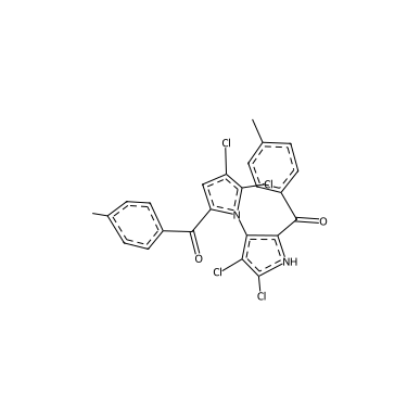 Cc1ccc(C(=O)c2[nH]c(Cl)c(Cl)c2-n2c(C(=O)c3ccc(C)cc3)cc(Cl)c2Cl)cc1